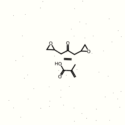 C=C.C=C(C)C(=O)O.O=C(CC1CO1)CC1CO1